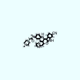 CN1CCN(CC(=O)N(C)c2ccc(NC(=C3C(=O)Nc4cc(C#N)ccc43)c3ccc4nccn4c3)cc2)CC1